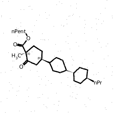 CCCCCOC(=O)[C@@]1(C)CC[C@@H](C2CCC([C@H]3CC[C@H](CCC)CC3)CC2)CC1=O